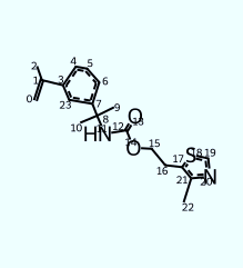 C=C(C)c1cccc(C(C)(C)NC(=O)OCCc2scnc2C)c1